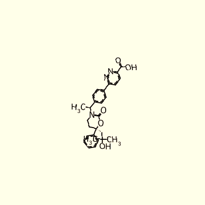 C[C@@H](c1ccc(-c2ccc(C(=O)O)nn2)cc1)N1CC[C@](CC(C)(C)O)(c2ccccc2)OC1=O